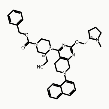 CN1CCC[C@H]1COc1nc2c(c(N3CCN(C(=O)OCc4ccccc4)C[C@@H]3CC#N)n1)CCN(c1cccc3ccccc13)C2